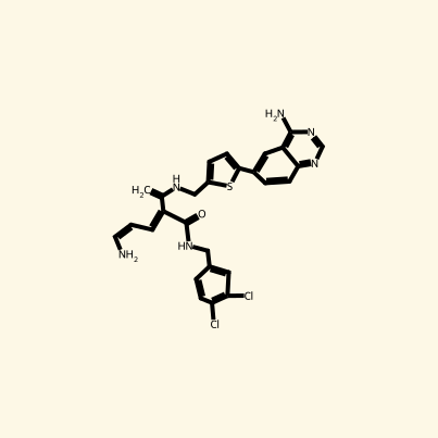 C=C(NCc1ccc(-c2ccc3ncnc(N)c3c2)s1)/C(=C\C=C/N)C(=O)NCc1ccc(Cl)c(Cl)c1